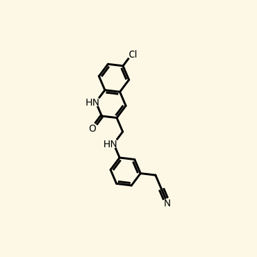 N#CCc1cccc(NCc2cc3cc(Cl)ccc3[nH]c2=O)c1